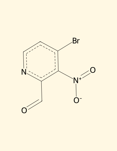 O=Cc1nccc(Br)c1[N+](=O)[O-]